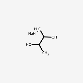 [CH2]C(O)C(C)O.[NaH]